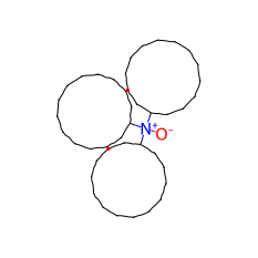 [O-][N+](C1CCCCCCCCCCCCC1)(C1CCCCCCCCCCCCC1)C1CCCCCCCCCCCCC1